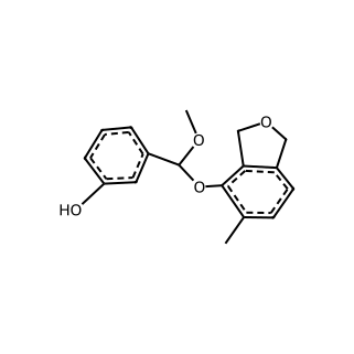 COC(Oc1c(C)ccc2c1COC2)c1cccc(O)c1